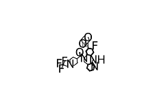 O=C(C1CCN(CC(F)(F)F)CC1)N1Cc2cccnc2Nc2cc(F)c([C@@H]3COCCO3)cc21